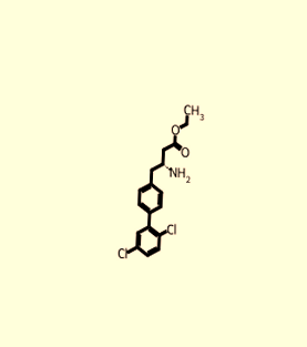 CCOC(=O)C[C@H](N)Cc1ccc(-c2cc(Cl)ccc2Cl)cc1